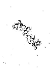 N#Cc1cc(-c2ccc(C(=O)CC3OC(=O)c4ccccc43)c(Cl)c2)ccc1C(=O)CC1OC(=O)c2ccccc21